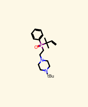 C=CC(C)(C)P(=O)(CCN1CCN(C(C)(C)C)CC1)c1ccccc1